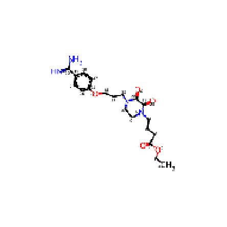 CCOC(=O)CCCN1CCN(CCCOc2ccc(C(=N)N)cc2)C(=O)C1=O